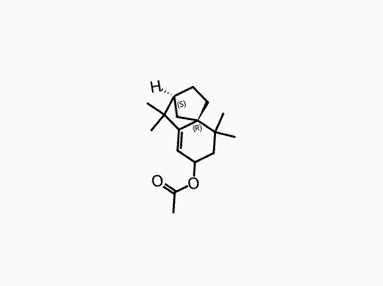 CC(=O)OC1C=C2C(C)(C)[C@H]3CC[C@@]2(C3)C(C)(C)C1